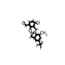 Cc1cc(C(F)(F)F)cc2cnn(Cc3c(Cl)ccc(C=O)c3Cl)c12